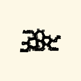 CCOc1cc2c(c(OC)c1OC)-c1ccc(SC)c(=O)cc1[C@@H](NC(C)=O)CC2